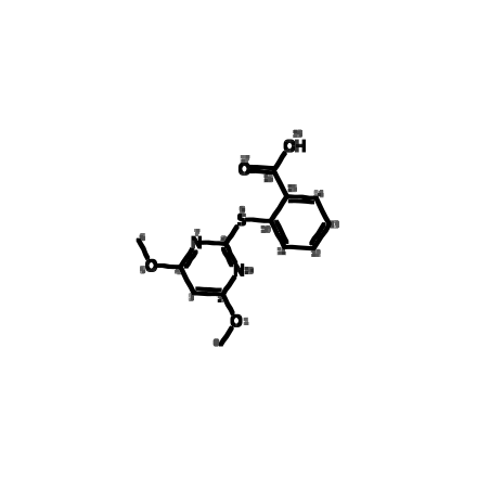 COc1cc(OC)nc(Sc2ccccc2C(=O)O)n1